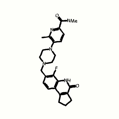 CNC(=O)c1ccc(N2CCN(Cc3ccc4c5c(c(=O)[nH]c4c3F)CCC5)CC2)c(C)n1